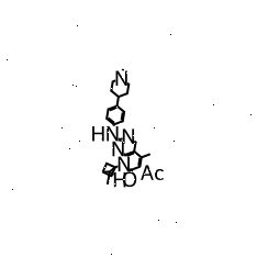 CC(=O)c1c(C)c2cnc(Nc3ccc(C4CCN(C)CC4)cc3)nc2n(C23CC(C2)[C@H]3C)c1=O